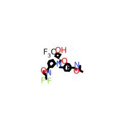 Cc1cnc(C23CCC(CN(c4cccc(-c5nc(C(F)F)co5)c4)C(=O)[C@H]4C[C@](O)(C(F)(F)F)C4)(CC2)CC3)o1